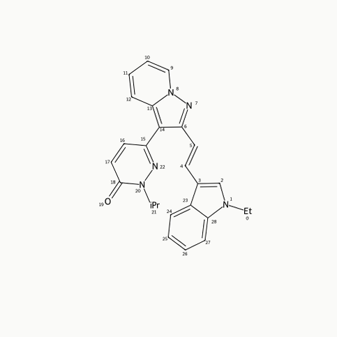 CCn1cc(C=Cc2nn3ccccc3c2-c2ccc(=O)n(C(C)C)n2)c2ccccc21